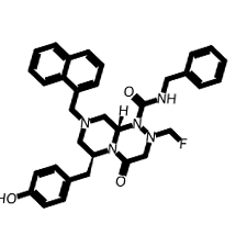 O=C1CN(CF)N(C(=O)NCc2ccccc2)[C@H]2CN(Cc3cccc4ccccc34)C[C@H](Cc3ccc(O)cc3)N12